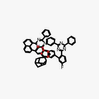 Fc1ccc(-c2nc(-c3ccccc3)nc(-c3ccccc3)n2)c(-c2ccc3c(c2)C2(c4cc(-c5cccc6cccc(-c7nc(-c8ccccc8)nc(-c8ccccc8)n7)c56)ccc4-3)C3CC4CC(C3)CC2C4)c1